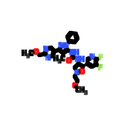 COCCN1C[C@@H](NC(=O)Nc2c(C)c(-c3cnc(COC)nc3)nn2-c2ccccc2)[C@H](c2cnc(F)c(F)c2)O1